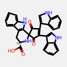 O=C(O)[C@@H]1Cc2c([nH]c3ccccc23)C2(N1)C(=O)C(c1c[nH]c3ccccc13)=C(c1c[nH]c3ccccc13)C2=O